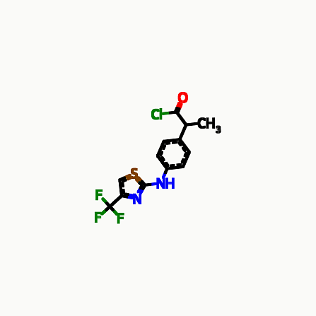 CC(C(=O)Cl)c1ccc(Nc2nc(C(F)(F)F)cs2)cc1